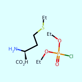 CCOP(=O)(Cl)OCC.CCSCC[C@H](N)C(=O)O